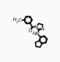 Cc1cccc(C(=O)N2CCN=C2Nc2cccc3c2CCC3)c1